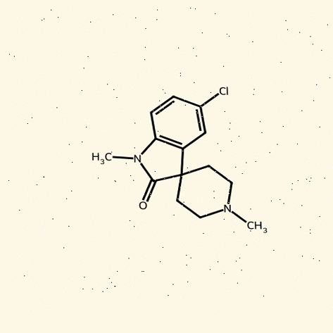 CN1CCC2(CC1)C(=O)N(C)c1ccc(Cl)cc12